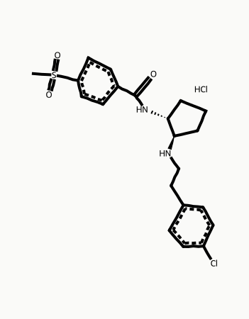 CS(=O)(=O)c1ccc(C(=O)N[C@@H]2CCC[C@H]2NCCc2ccc(Cl)cc2)cc1.Cl